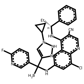 BC(Nc1cc(Cl)c2ncc(C#N)c(N[C@H](CC)c3ccccc3)c2c1)(C1=CN(C2CC2)NN1)c1ccc(F)nc1